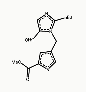 CCCCc1ncc(C=O)n1Cc1csc(C(=O)OC)c1